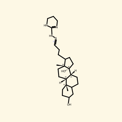 C[C@]12CCC(O)CC1CC[C@@H]1[C@H]2CC[C@]2(C)C(CC/C=N/NC3=NCCCN3)CC[C@@]12O